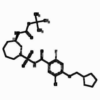 CC(C)(C)OC(=O)N[C@@H]1CCCCN(S(=O)(=O)NC(=O)c2cc(Cl)c(OCC3CCCC3)cc2F)C1